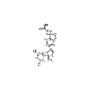 CC(C)C(=O)N1CC2(C1)OCc1cc(C3=NCC(C)(c4cc(Cl)cc(Cl)c4)C3)ccc12